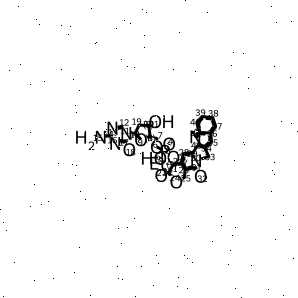 CC[C@@]1(OP(=O)(O)OC[C@H]2O[C@@H](n3cnc(N)nc3=O)C[C@@H]2O)C(=O)OCc2c1cc1n(c2=O)Cc2cc3ccccc3nc2-1